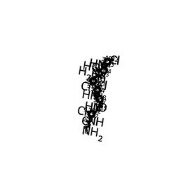 NCCC(=O)Nc1cc(Cl)cc(CNC(=O)N2CCc3c([nH]c4cc(-c5cc(C(N)C(=O)N6CCc7c([nH]c8ccc(Cl)cc78)C6CO)ccc5Cl)c(Cl)cc34)C2)c1